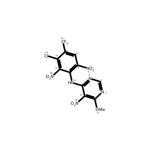 COc1ncnc(Nc2c([N+](=O)[O-])cc(C(F)(F)F)c(Cl)c2[N+](=O)[O-])c1[N+](=O)[O-]